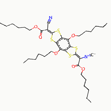 [C-]#[N+]C(C(=O)OCCCCCC)=C1Sc2c(OCCCCCC)c3c(c(OCCCCCC)c2S1)SC(=C(C#N)C(=O)OCCCCCC)S3